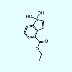 CCOC(=O)c1cccc2c1C=CS2(O)O